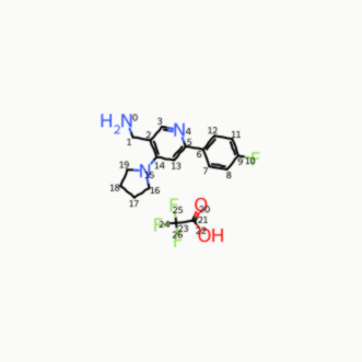 NCc1cnc(-c2ccc(F)cc2)cc1N1CCCC1.O=C(O)C(F)(F)F